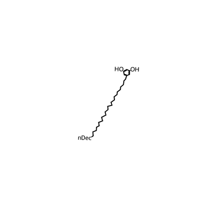 CCCCCCCCCCCCCCCCCCCCCCCCCCCCCCCCCc1cc(O)cc(O)c1